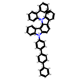 c1ccc2c3ccc4c(c5ccccc5n4-c4ccc(-c5ccc(-c6ccccc6)cc5)cc4)c3n(-c3ccccc3C3=CC=CCC3)c2c#1